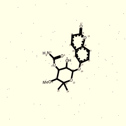 COC1C(OC(N)=O)C(O)C(Oc2ccc3oc(=O)ccc3c2)OC1(C)C